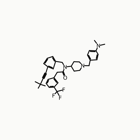 CN(C)c1ccc(CN2CCC(N(Cc3cccc(C#CC(C)(C)C)c3)C(=O)Cc3cccc(C(F)(F)F)c3)CC2)cc1